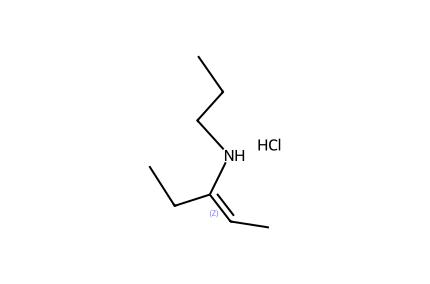 C/C=C(/CC)NCCC.Cl